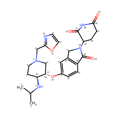 CC(C)N[C@H]1CCN(Cc2ncco2)C[C@@H]1Oc1ccc2c(c1)CN(C1CCC(=O)NC1=O)C2=O